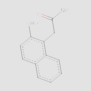 NC(=O)Cc1c(C=O)ccc2ccccc12